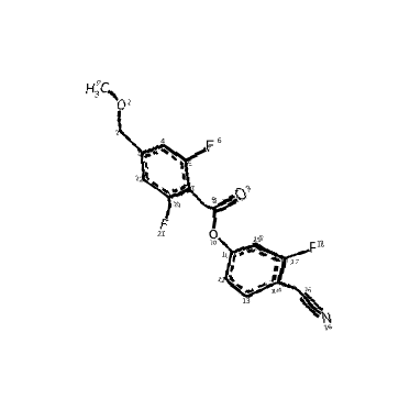 COCc1cc(F)c(C(=O)Oc2ccc(C#N)c(F)c2)c(F)c1